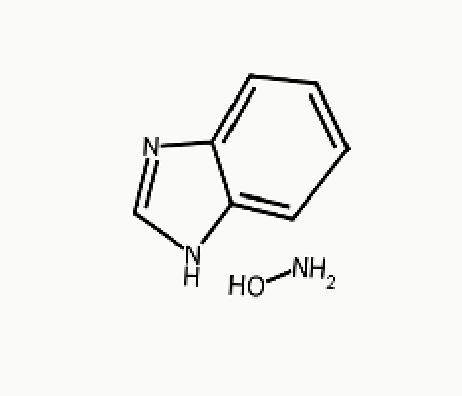 NO.c1ccc2[nH]cnc2c1